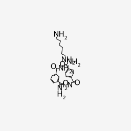 NC(=O)c1ccc(C(N)=O)cc1.NC(=O)c1cccc(C(N)=O)c1.NCCCCCCN